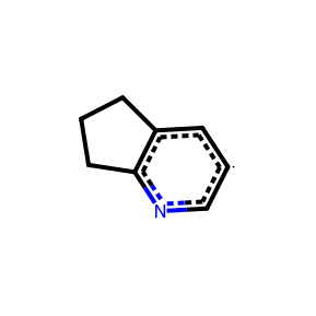 [c]1cnc2c(c1)CCC2